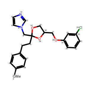 COc1ccc(CCC2(Cn3ccnc3)OCC(COc3cccc(Cl)c3)O2)cc1